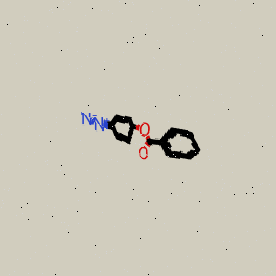 [N-]=[N+]=C1C=CC(OC(=O)c2ccccc2)C=C1